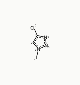 Clc1cn(I)nn1